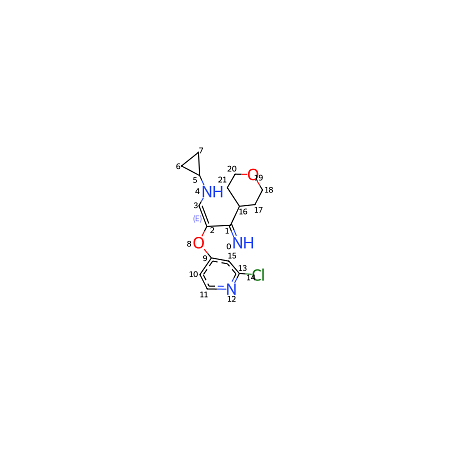 N=C(/C(=C\NC1CC1)Oc1ccnc(Cl)c1)C1CCOCC1